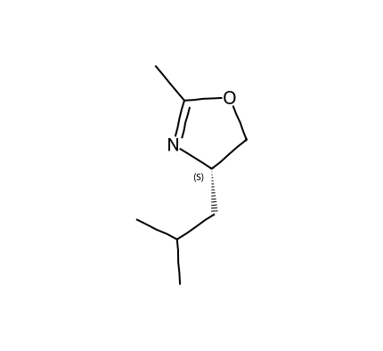 CC1=N[C@@H](CC(C)C)CO1